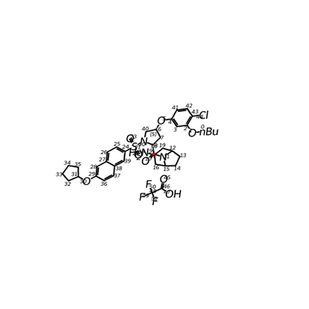 CCCCOc1cc(O[C@H]2C[C@@H](C(=O)N3C4CCC3CC(N)C4)N(S(=O)(=O)c3ccc4cc(OC5CCCC5)ccc4c3)C2)ccc1Cl.O=C(O)C(F)(F)F